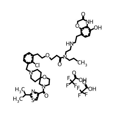 CCCN(CCNCCc1ccc(O)c2c1OCC(=O)N2)C(=O)CCOCCc1cccc(CN2CCC3(CC2)CN(C(=O)c2csc(C(C)C)n2)CCO3)c1Cl.O=C(O)C(F)(F)F.O=C(O)C(F)(F)F